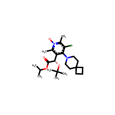 Cc1c(Br)c(N2CCC3(CCC3)CC2)c([C@H](OC(C)(C)C)C(=O)OC(C)C)c(C)[n+]1[O-]